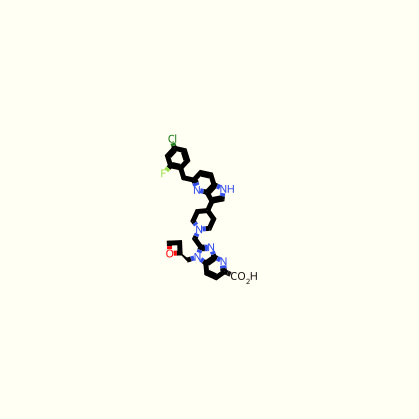 O=C(O)c1ccc2c(n1)nc(CN1CCC(c3c[nH]c4ccc(Cc5ccc(Cl)cc5F)nc34)CC1)n2C[C@@H]1CCO1